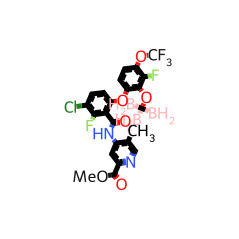 BC(B)(B)Oc1c(Oc2ccc(Cl)c(F)c2C(=O)Nc2cc(C(=O)OC)ncc2C)ccc(OC(F)(F)F)c1F